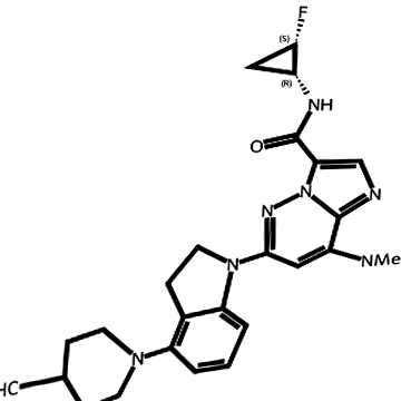 CNc1cc(N2CCc3c(N4CCC(C=O)CC4)cccc32)nn2c(C(=O)N[C@@H]3C[C@@H]3F)cnc12